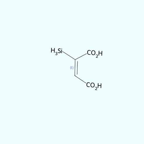 O=C(O)/C=C(/[SiH3])C(=O)O